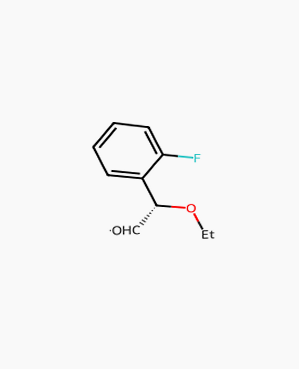 CCO[C@H]([C]=O)c1ccccc1F